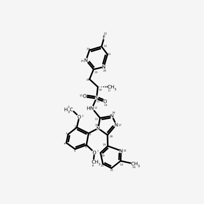 COc1cccc(OC)c1-n1c(NS(=O)(=O)[C@@H](C)Cc2ncc(F)cn2)nnc1-c1cccc(C)n1